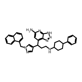 Nc1cc(C(CCNC2CCC(c3ccccc3)CC2)c2cnn(Cc3cccc4ccccc34)c2)c2nn[nH]c2n1